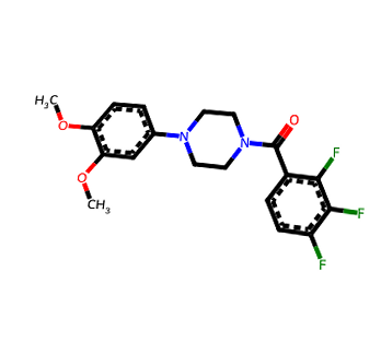 COc1ccc(N2CCN(C(=O)c3ccc(F)c(F)c3F)CC2)cc1OC